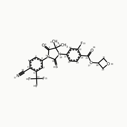 CC1(C)C(=O)N(c2ccc(C#N)c(C(F)(F)F)c2)C(=S)N1c1ccc(C(=O)OC2COC2)c(F)c1